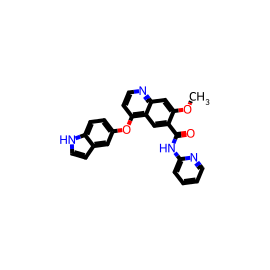 COc1cc2nccc(Oc3ccc4[nH]ccc4c3)c2cc1C(=O)Nc1ccccn1